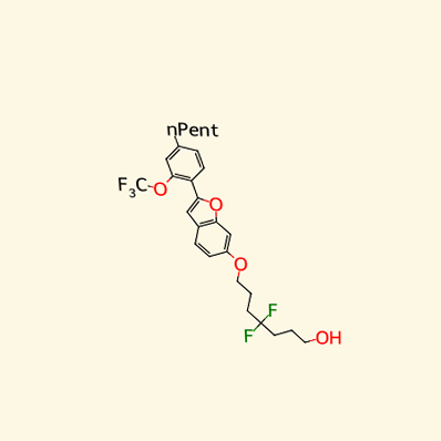 CCCCCc1ccc(-c2cc3ccc(OCCCC(F)(F)CCCO)cc3o2)c(OC(F)(F)F)c1